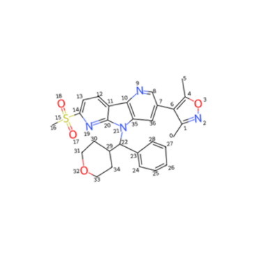 Cc1noc(C)c1-c1cnc2c3ccc(S(C)(=O)=O)nc3n(C(c3ccccc3)C3CCOCC3)c2c1